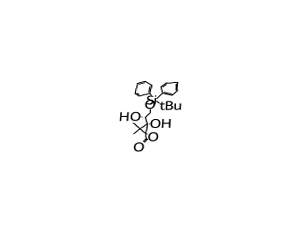 CC1(C)[C@@]2(OC2=O)[C@]1(O)[C@H](O)CO[Si](c1ccccc1)(c1ccccc1)C(C)(C)C